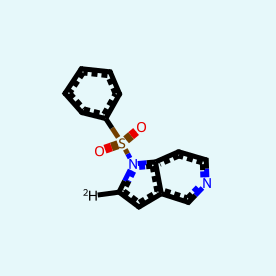 [2H]c1cc2cnccc2n1S(=O)(=O)c1ccccc1